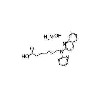 NO.O=C(O)CCCCCCN(c1ccccn1)c1ccc2ccccc2n1